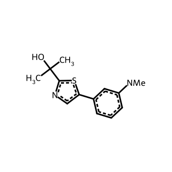 CNc1cccc(-c2cnc(C(C)(C)O)s2)c1